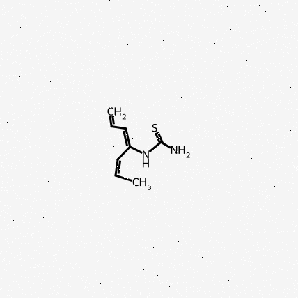 C=C/C=C(\C=C/C)NC(N)=S